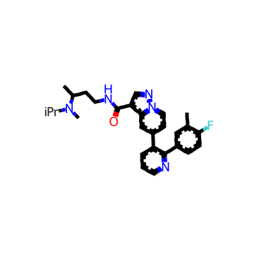 Cc1cc(-c2ncccc2-c2ccn3ncc(C(=O)NCCC(C)N(C)C(C)C)c3c2)ccc1F